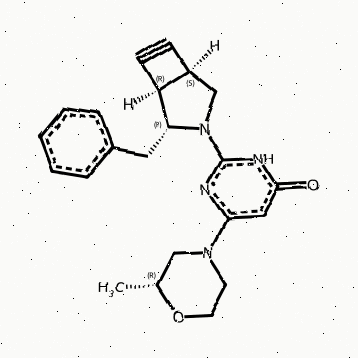 C[C@@H]1CN(c2cc(=O)[nH]c(N3C[C@@H]4C#C[C@@H]4[C@H]3Cc3ccccc3)n2)CCO1